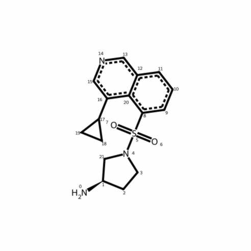 N[C@@H]1CCN(S(=O)(=O)c2cccc3cncc(C4CC4)c23)C1